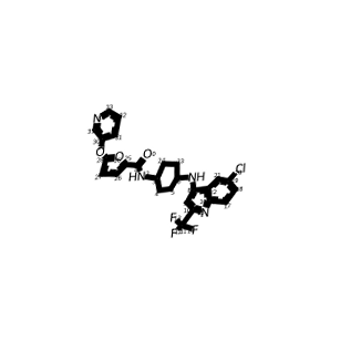 O=C(NC1CCC(Nc2cc(C(F)(F)F)nc3ccc(Cl)cc23)CC1)c1ccc(Oc2cccnc2)o1